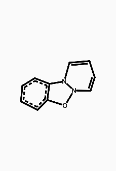 C1=CN2Oc3ccccc3N2C=C1